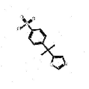 CC(C)(c1ccc(S(=O)(=O)Cl)cc1)c1cnco1